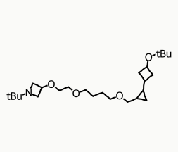 CC(C)(C)OC1CC(C2CC2COCCCCOCCOC2CN(C(C)(C)C)C2)C1